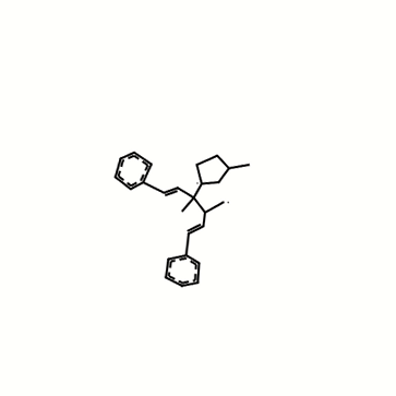 [CH2]C(C=Cc1ccccc1)C(C)(C=Cc1ccccc1)[C]1CCC(C)C1